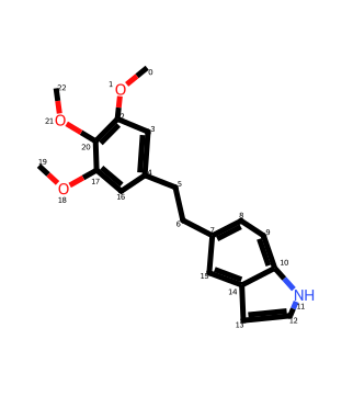 COc1cc(CCc2ccc3[nH]ccc3c2)cc(OC)c1OC